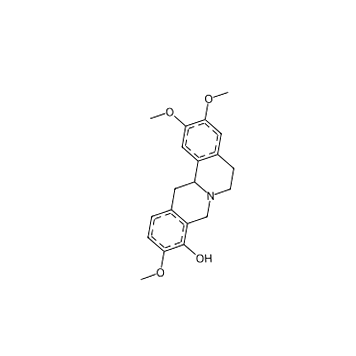 COc1cc2c(cc1OC)C1Cc3ccc(OC)c(O)c3CN1CC2